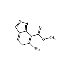 COC(=O)C1=C(N)CC=C2C=NN=C21